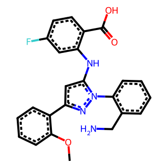 COc1ccccc1-c1cc(Nc2cc(F)ccc2C(=O)O)n(-c2ccccc2CN)n1